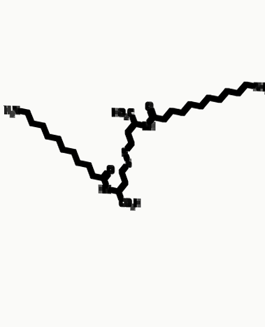 NCCCCCCCCCCC(=O)NC(CCSSCCC(NC(=O)CCCCCCCCCCN)C(=O)O)C(=O)O